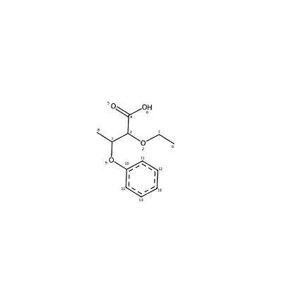 CCOC(C(=O)O)C(C)Oc1ccccc1